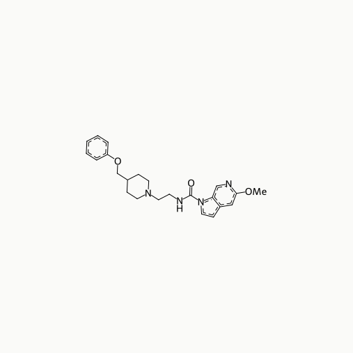 COc1cc2ccn(C(=O)NCCN3CCC(COc4ccccc4)CC3)c2cn1